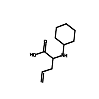 C=CCC(NC1CCCCC1)C(=O)O